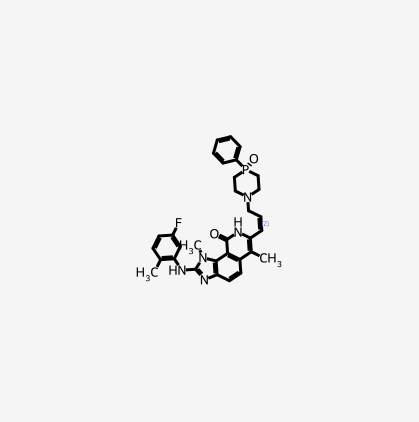 Cc1ccc(F)cc1Nc1nc2ccc3c(C)c(/C=C\CN4CCP(=O)(c5ccccc5)CC4)[nH]c(=O)c3c2n1C